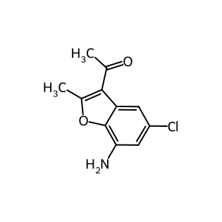 CC(=O)c1c(C)oc2c(N)cc(Cl)cc12